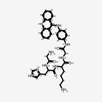 NCCCCC(NC(=O)C(Cc1c[nH]cn1)NC(=O)CN)C(=O)NCC(=O)Nc1ccc(Nc2c3ccccc3nc3ccccc23)cc1